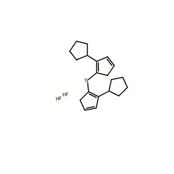 C1=CC(C2CCCC2)=[C]([Ti][C]2=C(C3CCCC3)C=CC2)C1.F.F